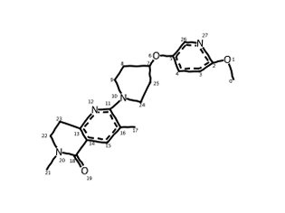 COc1ccc(OC2CCN(c3nc4c(cc3C)C(=O)N(C)CC4)CC2)cn1